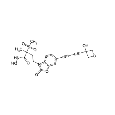 CC(CCn1c(=O)oc2cc(C#CC#CC3(O)COC3)ccc21)(C(=O)NO)S(C)(=O)=O